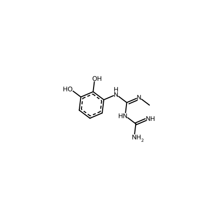 C/N=C(\NC(=N)N)Nc1cccc(O)c1O